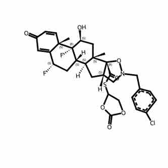 C[C@]12C=CC(=O)C=C1[C@@H](F)C[C@H]1[C@@H]3C[C@H]4CN(Cc5ccc(Cl)cc5)O[C@@]4(C(=O)SC4COC(=O)O4)[C@@]3(C)C[C@H](O)[C@@]12F